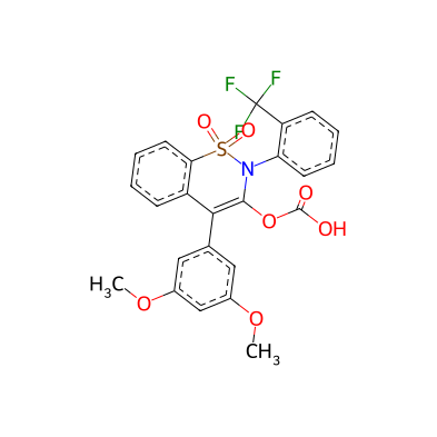 COc1cc(OC)cc(C2=C(OC(=O)O)N(c3ccccc3C(F)(F)F)S(=O)(=O)c3ccccc32)c1